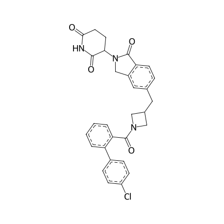 O=C1CCC(N2Cc3cc(CC4CN(C(=O)c5ccccc5-c5ccc(Cl)cc5)C4)ccc3C2=O)C(=O)N1